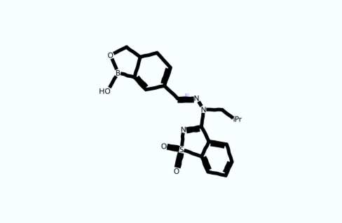 CC(C)CN(/N=C/C1=CCC2COB(O)C2=C1)C1=NS(=O)(=O)c2ccccc21